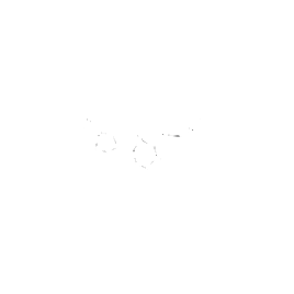 CN(C)/C=N/c1nc(Cl)cc(-c2ccc([N+](=O)[O-])o2)n1